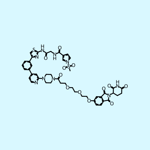 CS(=O)(=O)n1ccc(C(=O)NCC(=O)Nc2nc(-c3cccc(-c4ccnc(N5CCN(C(=O)CCOCCOCCOc6ccc7c(c6)C(=O)N(C6CCC(=O)NC6=O)C7=O)CC5)c4)c3)cs2)c1